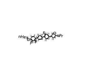 CCCCCCOc1ccc(-c2ccc(-c3ccc(C4CCC(CCC)OC4)cc3F)cc2)c(F)c1F